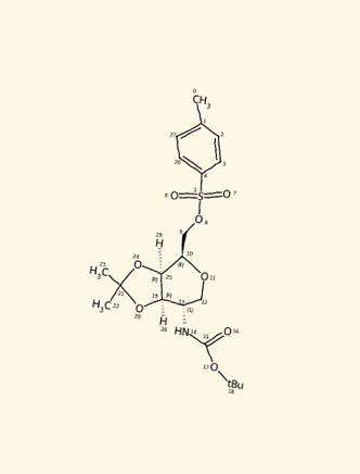 Cc1ccc(S(=O)(=O)OC[C@H]2OC[C@H](NC(=O)OC(C)(C)C)[C@H]3OC(C)(C)O[C@H]32)cc1